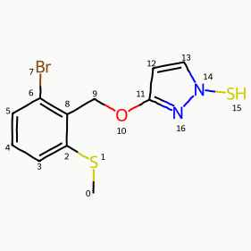 CSc1cccc(Br)c1COc1ccn(S)n1